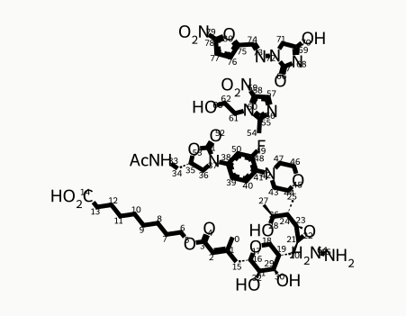 C/C(=C\C(=O)OCCCCCCCCC(=O)O)C[C@@H]1OC[C@H](C[C@@H]2O[C@H]2[C@@H](C)[C@H](C)O)[C@@H](O)[C@H]1O.CC(=O)NC[C@H]1CN(c2ccc(N3CCOCC3)c(F)c2)C(=O)O1.Cc1ncc([N+](=O)[O-])n1CCO.NN.O=C1N=C(O)CN1/N=C/c1ccc([N+](=O)[O-])o1